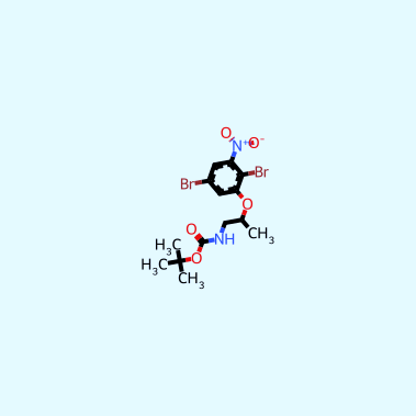 CC(CNC(=O)OC(C)(C)C)Oc1cc(Br)cc([N+](=O)[O-])c1Br